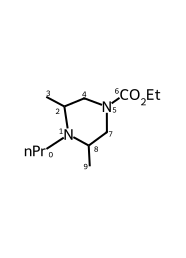 CCCN1C(C)CN(C(=O)OCC)CC1C